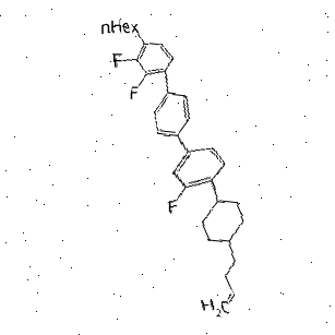 C=CCCC1CCC(c2ccc(-c3ccc(-c4ccc(CCCCCC)c(F)c4F)cc3)cc2F)CC1